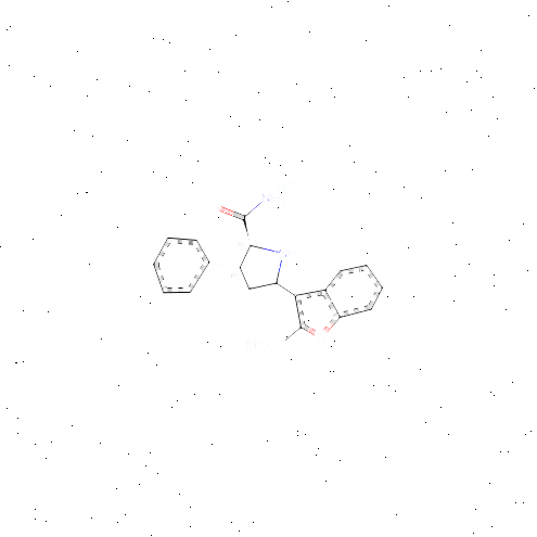 CCOC(=O)c1oc2ccccc2c1C1C[C@H](c2ccccc2)[C@@H](C(N)=O)N1.Cl